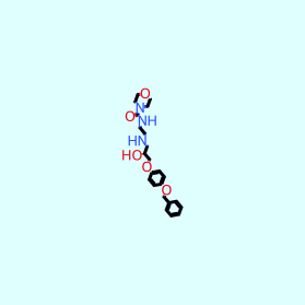 O=C(NCCNC[C@@H](O)COc1ccc(OCc2ccccc2)cc1)N1CCOCC1